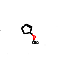 O=COC1C=CCC1